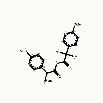 CCCCCC(C(=O)OC(=O)C(C#N)(CCC)c1ccc(OC)nc1)c1ccc(OC)nc1